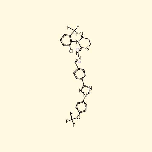 O=C1CCS/C(=N\N=C\c2ccc(-c3ncn(-c4ccc(OC(F)(F)F)cc4)n3)cc2)N1c1c(Cl)cccc1C(F)(F)F